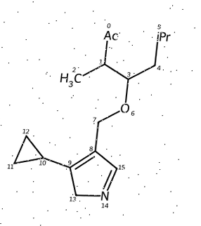 CC(=O)C(C)C(CC(C)C)OCC1=C(C2CC2)CN=C1